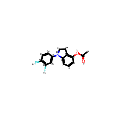 CC(=O)Oc1cccc2c1CCN2c1ccc(F)c(F)c1